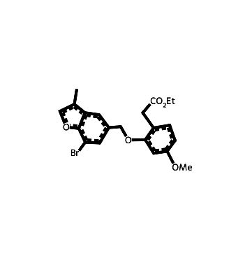 CCOC(=O)Cc1ccc(OC)cc1OCc1cc(Br)c2occ(C)c2c1